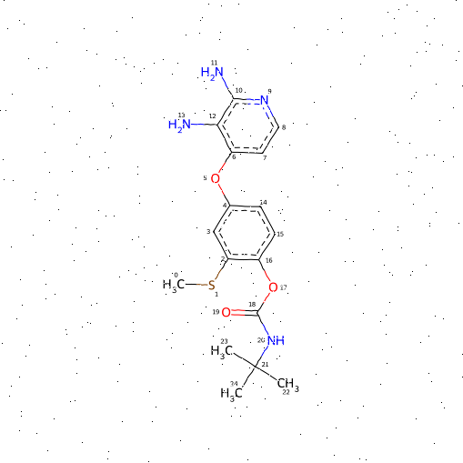 CSc1cc(Oc2ccnc(N)c2N)ccc1OC(=O)NC(C)(C)C